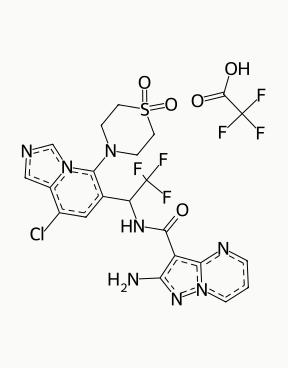 Nc1nn2cccnc2c1C(=O)NC(c1cc(Cl)c2cncn2c1N1CCS(=O)(=O)CC1)C(F)(F)F.O=C(O)C(F)(F)F